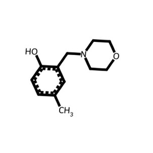 Cc1ccc(O)c(CN2CCOCC2)c1